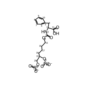 O=C(NC(Cc1ccccc1)C(=O)O)OCCCCC(CO[N+](=O)[O-])O[N+](=O)[O-]